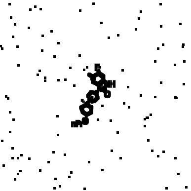 CCCO[C@H]1CC[C@](C)(N2CCC(n3c(=O)[nH]c4cc(F)c(C)cc43)CC2)CC1